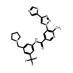 Cc1ncc(C(=O)Nc2cc(CN3CCCC3)cc(C(F)(F)F)c2)cc1-n1cc(-c2cncs2)nn1